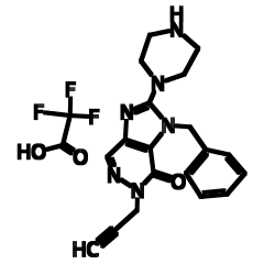 C#CCn1ncc2nc(N3CCNCC3)n(Cc3ccccc3)c2c1=O.O=C(O)C(F)(F)F